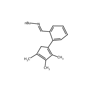 CCCCN=Cc1ccccc1C1=C(C)C(C)=C(C)C1